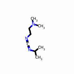 CC(C)N=C=NCCN(C)C